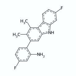 Cc1c(-c2ccc(F)cc2N)cc2[nH]c3cc(F)ccc3c2c1C